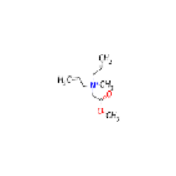 C=CC[N+](C)(CC=C)CC(=O)OC